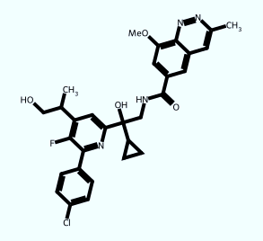 COc1cc(C(=O)NCC(O)(c2cc(C(C)CO)c(F)c(-c3ccc(Cl)cc3)n2)C2CC2)cc2cc(C)nnc12